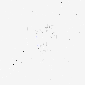 CCOC(=O)/C=C(\C)C/C=C/[C@H](C)[C@H](CC)O[Si](CC)(CC)CC